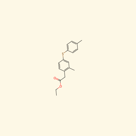 CCOC(=O)Cc1ccc(Sc2ccc(C)cc2)cc1C